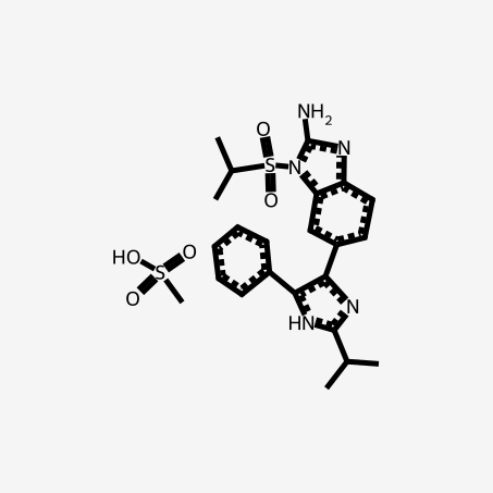 CC(C)c1nc(-c2ccc3nc(N)n(S(=O)(=O)C(C)C)c3c2)c(-c2ccccc2)[nH]1.CS(=O)(=O)O